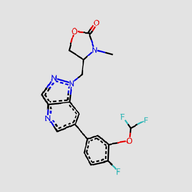 CN1C(=O)OCC1Cn1ncc2ncc(-c3ccc(F)c(OC(F)F)c3)cc21